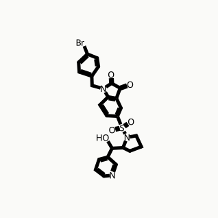 O=C1C(=O)N(Cc2ccc(Br)cc2)c2ccc(S(=O)(=O)N3CCCC3C(O)c3cccnc3)cc21